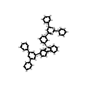 c1ccc(-c2cc(-c3ccccc3)cc(-c3ccc4c5ccccc5n(-c5cccc(-c6cc(-c7ccccc7)nc(-c7ccccc7)n6)c5)c4c3)c2)cc1